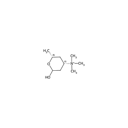 C[C@@H]1C[C@H]([N+](C)(C)C)CC(O)O1